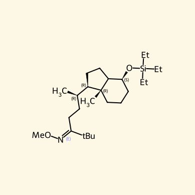 CC[Si](CC)(CC)O[C@H]1CCC[C@@]2(C)C1CC[C@@H]2[C@H](C)CC/C(=N\OC)C(C)(C)C